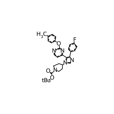 Cc1ccc(Oc2nccc(-c3c(-c4ccc(F)cc4)ncn3C3CCN(C(=O)OC(C)(C)C)CC3)n2)cc1